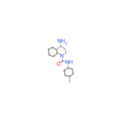 Cc1ccc(NC(=O)N2CCC(N)c3ccccc32)cc1